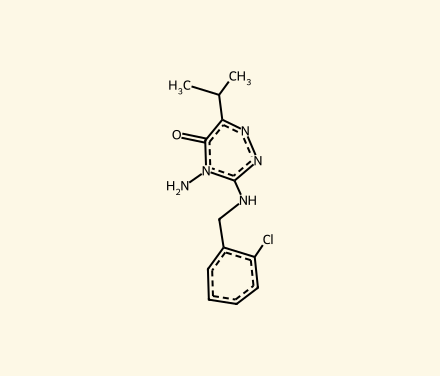 CC(C)c1nnc(NCc2ccccc2Cl)n(N)c1=O